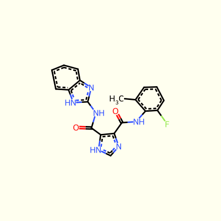 Cc1cccc(F)c1NC(=O)c1nc[nH]c1C(=O)Nc1nc2ccccc2[nH]1